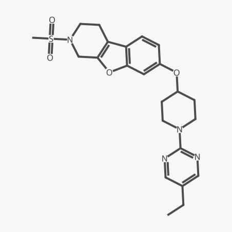 CCc1cnc(N2CCC(Oc3ccc4c5c(oc4c3)CN(S(C)(=O)=O)CC5)CC2)nc1